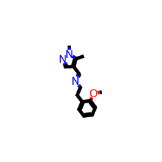 COc1ccccc1CCN=Cc1cnn(C)c1C